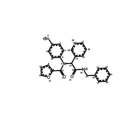 CC(C)(C)c1ccc(N(C(=O)c2ccco2)C(C(=O)NCc2ccccc2)c2cccnc2)cc1